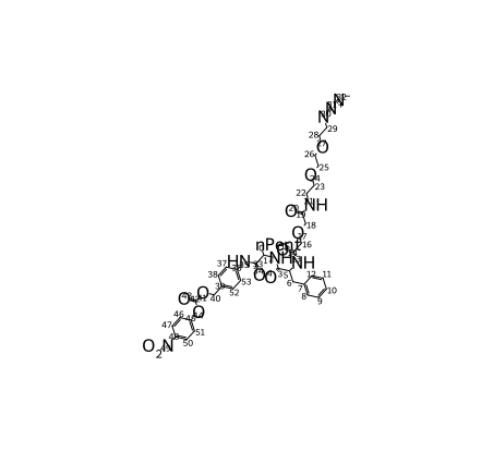 CCCCCC(NC(=O)C(Cc1ccccc1)NC(=O)COCC(=O)NCCOCCOCCN=[N+]=[N-])C(=O)Nc1ccc(COC(=O)Oc2ccc([N+](=O)[O-])cc2)cc1